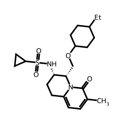 CCC1CCC(OC[C@H]2[C@@H](NS(=O)(=O)C3CC3)CCc3ccc(C)c(=O)n32)CC1